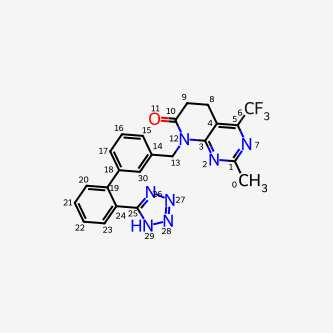 Cc1nc2c(c(C(F)(F)F)n1)CCC(=O)N2Cc1cccc(-c2ccccc2-c2nnn[nH]2)c1